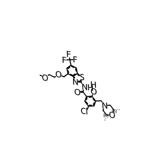 COCCOCc1cc(C(F)(F)F)cc2sc(NC(=O)c3cc(Cl)cc(CN4C[C@@H](C)O[C@@H](C)C4)c3O)nc12